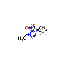 CCN1N=CN(C(C)(C)C)C1[N+](=O)[O-]